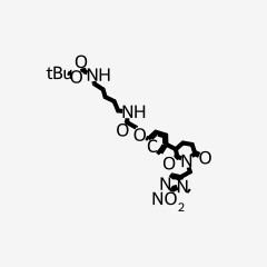 Cn1c(CN2C(=O)CCC(c3ccc(OCC(=O)NCCCCCNC(=O)OC(C)(C)C)cc3)C2=O)cnc1[N+](=O)[O-]